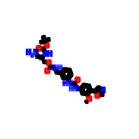 COc1cc(NC(=O)Nc2cccc(CNC(=O)OC[C@@H](CN)NC(=O)OC(C)(C)C)c2)ccc1-c1cnco1